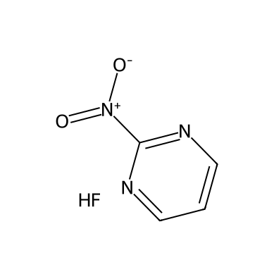 F.O=[N+]([O-])c1ncccn1